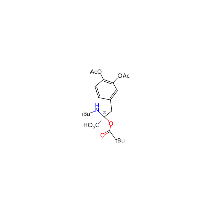 CCC(C)N[C@@](Cc1ccc(OC(C)=O)c(OC(C)=O)c1)(OC(=O)C(C)(C)C)C(=O)O